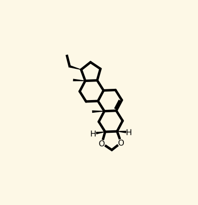 CC[C@H]1CCC2C3CC=C4C[C@@H]5OCO[C@@H]5C[C@]4(C)C3CC[C@@]21C